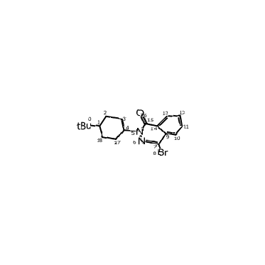 CC(C)(C)C1CCC(n2nc(Br)c3ccccc3c2=O)CC1